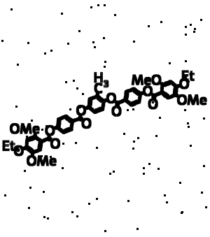 CCOc1cc(OC)c(C(=O)Oc2ccc(C(=O)Oc3ccc(OC(=O)c4ccc(OC(=O)c5cc(OC)c(OCC)cc5OC)cc4)c(C)c3)cc2)cc1OC